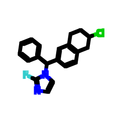 Fc1nccn1C(c1ccccc1)c1ccc2c(c1)CCC(Cl)C2